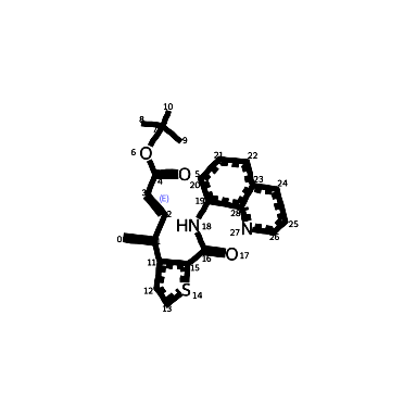 C=C(/C=C/C(=O)OC(C)(C)C)c1ccsc1C(=O)Nc1cccc2cccnc12